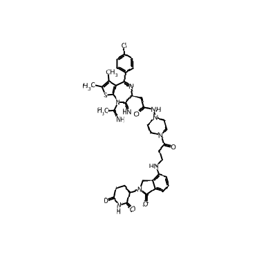 CC(=N)N1C(=N)[C@H](CC(=O)NN2CCN(C(=O)CCNc3cccc4c3CN(C3CCC(=O)NC3=O)C4=O)CC2)N=C(c2ccc(Cl)cc2)c2c1sc(C)c2C